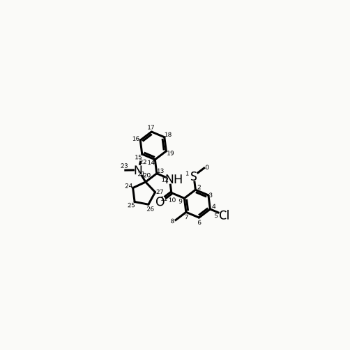 CSc1cc(Cl)cc(C)c1C(=O)NC(c1ccccc1)C1(N(C)C)CCCC1